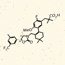 COc1cc(F)c(CC(C)(C)C(=O)O)cc1C1=C(CN2C(=O)O[C@H](c3cc(C)cc(C(F)(F)F)c3)[C@@H]2C)CC(C)(C)CC1